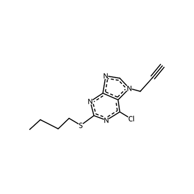 C#CCn1cnc2nc(SCCCC)nc(Cl)c21